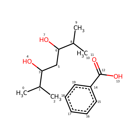 CC(C)C(O)CC(O)C(C)C.O=C(O)c1ccccc1